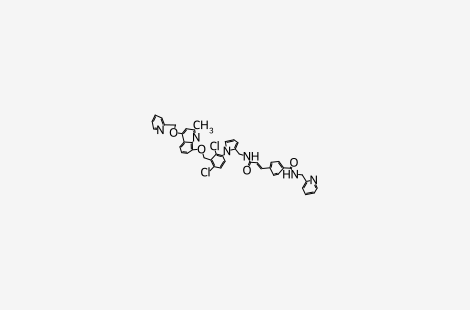 Cc1cc(OCc2ccccn2)c2cccc(OCc3c(Cl)ccc(-n4cccc4CNC(=O)C=Cc4ccc(C(=O)NCc5ccccn5)cc4)c3Cl)c2n1